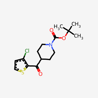 CC(C)(C)OC(=O)N1CCC(C(=O)c2sccc2Cl)CC1